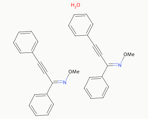 CON=C(C#Cc1ccccc1)c1ccccc1.CON=C(C#Cc1ccccc1)c1ccccc1.O